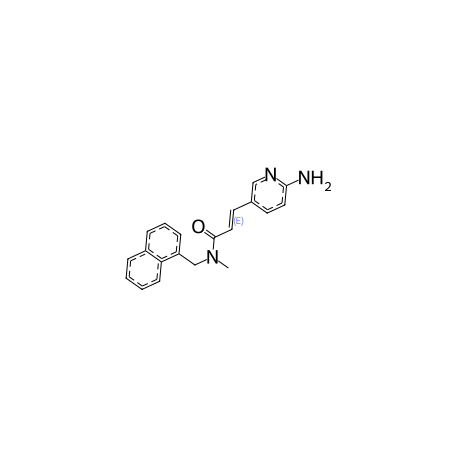 CN(Cc1cccc2ccccc12)C(=O)/C=C/c1ccc(N)nc1